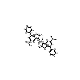 CC(C)c1cc(-c2ccccc2)c2c(c1)C([Si](C)(C)C1c3cc(C(C)C)cc(-c4ccccc4)c3CC1C)C(C)C2